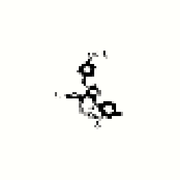 CCOC(=O)c1c(N(C)c2ccc(Cl)cc2[N+](=O)[O-])ncn1Cc1ccc(OC)cc1